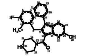 Cc1c(F)cccc1Cc1c(C(=O)N2CCNCC2)c2nc(O)ccc2n1-c1ccccc1